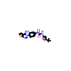 CC(C)(C)c1cc(NC(=O)Nc2ccc(N3CN=c4occc4=C3N)cc2)no1